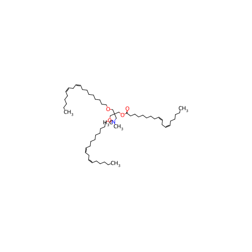 CCCCC/C=C\C/C=C\CCCCCCCCOCC(COCCCCCCCC/C=C\C/C=C\CCCCC)(COC(=O)CCCCCCC/C=C\C/C=C\CCCCC)CN(C)C